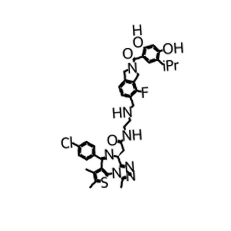 Cc1sc2c(c1C)C(c1ccc(Cl)cc1)=N[C@@H](CC(=O)NCCNCc1ccc3c(c1F)CN(C(=O)c1cc(C(C)C)c(O)cc1O)C3)c1nnc(C)n1-2